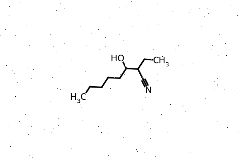 CCCCCC(O)C(C#N)CC